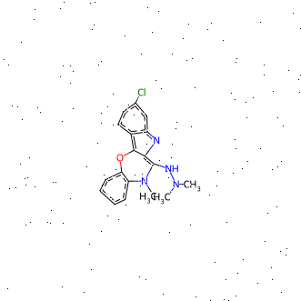 CN(C)NC1=C2N=c3cc(Cl)ccc3=C2Oc2ccccc2N1C